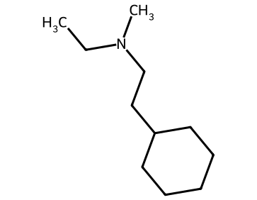 CCN(C)CCC1CCCCC1